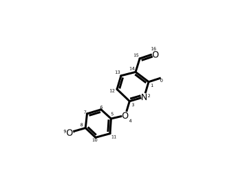 Cc1nc(Oc2ccc([O])cc2)ccc1C=O